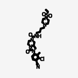 CCS(=O)(=O)N1CCN(CCCCNC(=O)N2CCN3C(=O)N(c4ccc(C#N)c(Cl)c4C)CC3C2)CC1